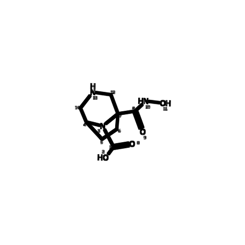 O=C(O)N1C2CCC1(C(=O)NO)CNC2